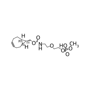 COP(=O)(O)OCCOCCNC(=O)OC[C@@H]1[C@@H]2CCC#CCC[C@@H]21